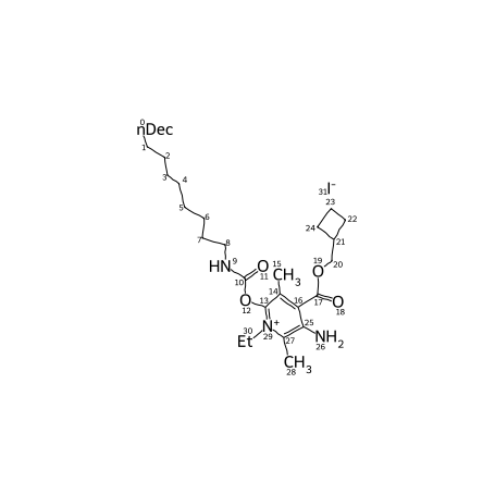 CCCCCCCCCCCCCCCCCCNC(=O)Oc1c(C)c(C(=O)OCC2CCC2)c(N)c(C)[n+]1CC.[I-]